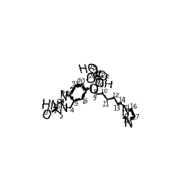 O=C1CN2Cc3cc(OCCCCCCn4ccnc4)ccc3N=C2N1.O=S(=O)(O)O